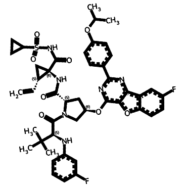 C=C[C@@H]1C[C@]1(NC(=O)[C@@H]1C[C@@H](Oc2nc(-c3ccc(OC(C)C)cc3)nc3c2oc2ccc(F)cc23)CN1C(=O)[C@@H](Nc1cccc(F)c1)C(C)(C)C)C(=O)NS(=O)(=O)C1CC1